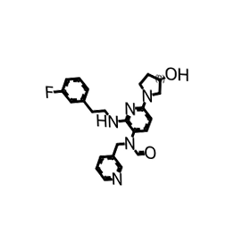 O=CN(Cc1cccnc1)c1ccc(N2CC[C@@H](O)C2)nc1NCCc1cccc(F)c1